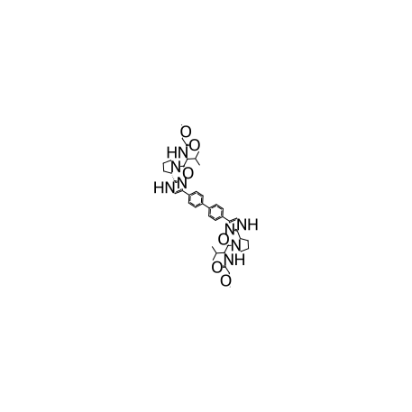 COCC(=O)N[C@H](C(=O)N1CCCC1c1nc(-c2ccc(-c3ccc(-c4c[nH]c([C@@H]5CCCN5C(=O)[C@@H](NC(=O)COC)C(C)C)n4)cc3)cc2)c[nH]1)C(C)C